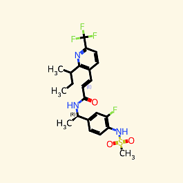 CCC(C)c1nc(C(F)(F)F)ccc1/C=C/C(=O)N[C@H](C)c1ccc(NS(C)(=O)=O)c(F)c1